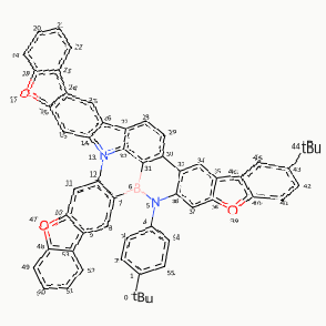 CC(C)(C)c1ccc(N2B3c4cc5c(cc4-n4c6cc7oc8ccccc8c7cc6c6ccc(c3c64)-c3cc4c(cc32)oc2ccc(C(C)(C)C)cc24)oc2ccccc25)cc1